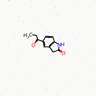 CCC(=O)c1ccc2c(c1)CC(=O)N2